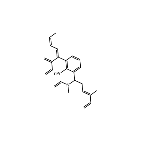 C=CC(=C)/C(=C\C=C/C)c1cccc(C(C/C=C(\C)C=C)N(C)C=C)c1CCC